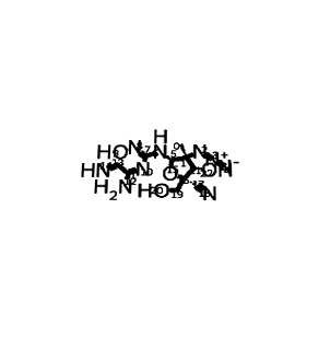 C[C@]1(N=[N+]=[N-])[C@H](NC(=N/O)/N=C(/N)C=N)O[C@](C#N)(CO)[C@H]1O